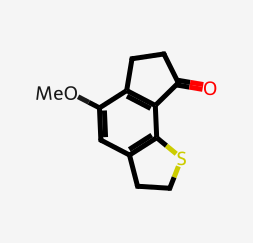 COc1cc2c(c3c1CCC3=O)SCC2